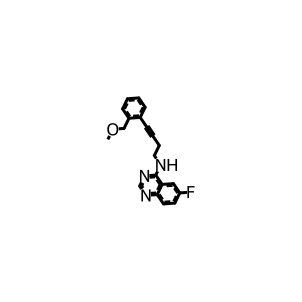 COCc1ccccc1C#CCCNc1ncnc2ccc(F)cc12